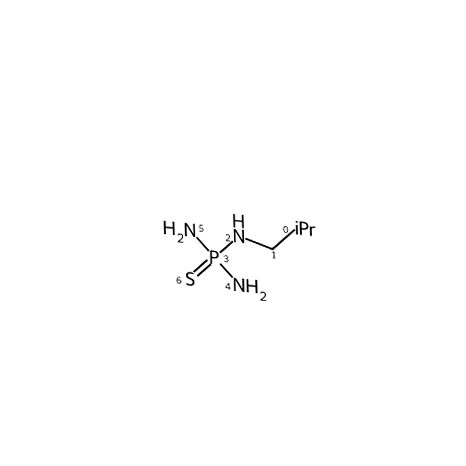 CC(C)CNP(N)(N)=S